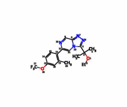 CCOC(C)(C)c1nnc2cnc(-c3ccc(OC(F)(F)F)cc3C)cn12